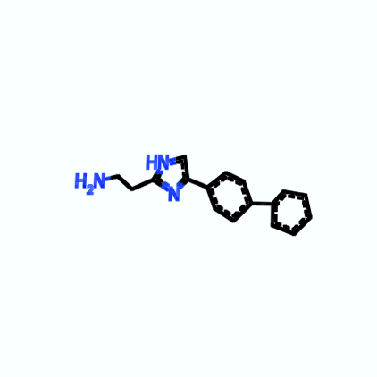 NCCc1nc(-c2ccc(-c3ccccc3)cc2)c[nH]1